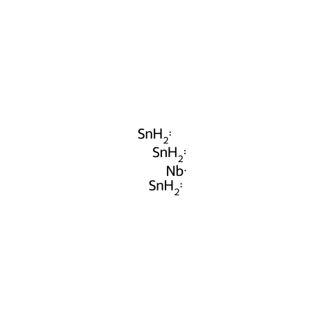 [Nb].[SnH2].[SnH2].[SnH2]